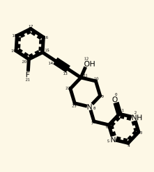 O=c1[nH]ccnc1CN1CCC(O)(C#Cc2ccccc2F)CC1